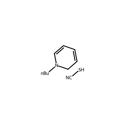 CCCCN1C=CC=CC1.N#CS